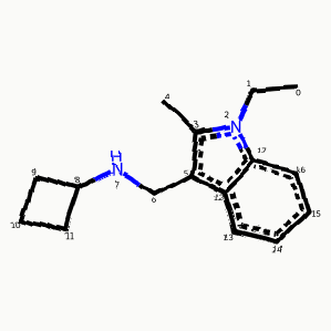 CCn1c(C)c(CNC2CCC2)c2ccccc21